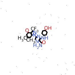 CC1(C)CC(=O)c2c(C(F)(F)F)nn(-c3cnc(C(N)=O)c(NC4CCC(O)CC4)n3)c2C1